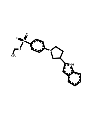 O=S(=O)(OCC(F)(F)F)c1ccc(N2CCC(c3cc4ccccc4[nH]3)C2)cc1